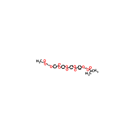 C=CC(=O)OCCCOc1ccc(C(=O)Oc2ccc(OC(=O)c3ccc(OC(=O)c4ccc(OCCOC(=O)C(=C)C)cc4)cc3)cc2)cc1